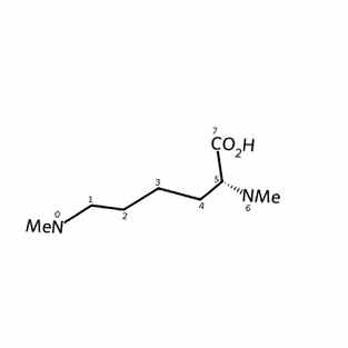 CNCCCC[C@@H](NC)C(=O)O